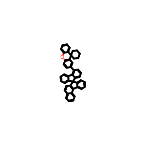 c1ccc2c(c1)Oc1ccc(-c3cccc4c3-c3ccccc3C43c4ccccc4-c4c3ccc3ccccc43)cc1C21CCCCC1